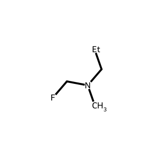 CCCN(C)CF